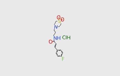 Cl.O=C(C=Cc1ccc(F)cc1)NCCCN1CCS(=O)(=O)CC1